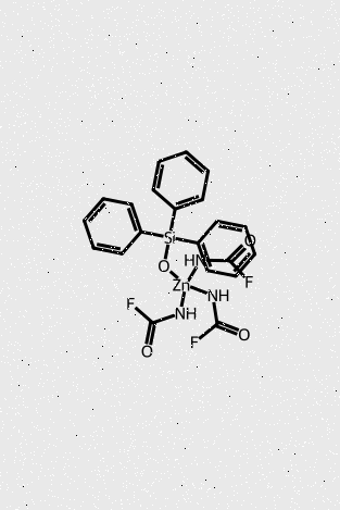 O=C(F)[NH][Zn]([NH]C(=O)F)([NH]C(=O)F)[O][Si](c1ccccc1)(c1ccccc1)c1ccccc1